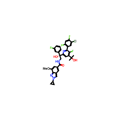 COc1cc(C(=O)NC[C@@](O)(c2cccc(F)c2)c2cc(C(C)(C)O)c(F)c(-c3cc(Cl)c(F)cc3F)n2)cc2cn(C3CC3)nc12